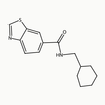 O=C(NCC1CCCCC1)c1ccc2n[c]sc2c1